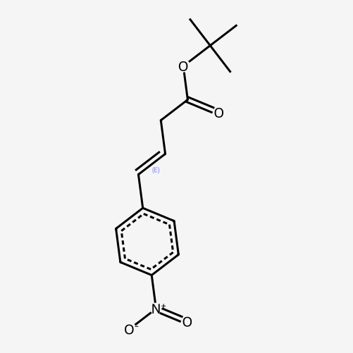 CC(C)(C)OC(=O)C/C=C/c1ccc([N+](=O)[O-])cc1